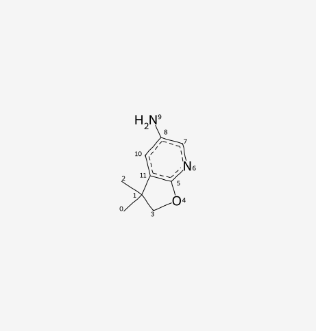 CC1(C)COc2ncc(N)cc21